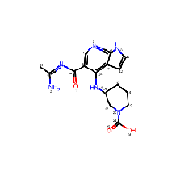 CC(N)=NC(=O)c1cnc2[nH]ccc2c1NC1CCCN(C(=O)O)C1